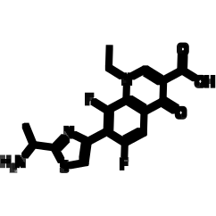 CCn1cc(C(=O)O)c(=O)c2cc(F)c(-c3csc(C(C)N)n3)c(F)c21